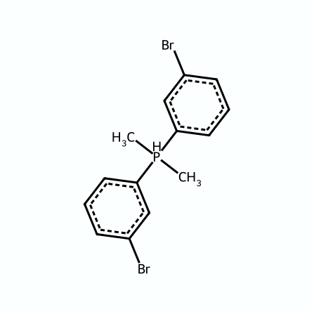 C[PH](C)(c1cccc(Br)c1)c1cccc(Br)c1